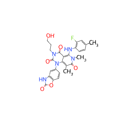 Cc1ccc(Nc2c3c(=O)n(CCCO)c(=O)n(-c4ccc5oc(=O)[nH]c5c4)c3c(C)c(=O)n2C)c(F)c1